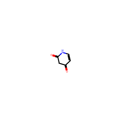 O=C1[C]C(=O)NC=C1